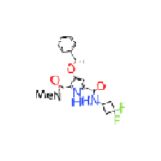 CNC(=O)c1[nH]c(C(=O)NC2CC(F)(F)C2)cc1O[C@@H](C)c1ccccc1